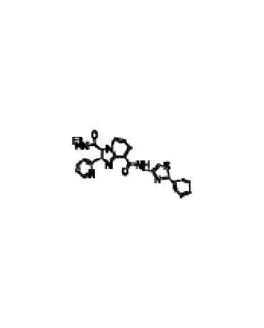 CCNC(=O)c1c(-c2ccccn2)nc2c(C(=O)NCc3csc(-c4ccccc4)n3)cccn12